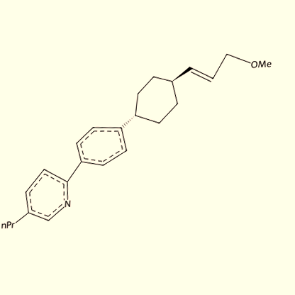 CCCc1ccc(-c2ccc([C@H]3CC[C@H](/C=C/COC)CC3)cc2)nc1